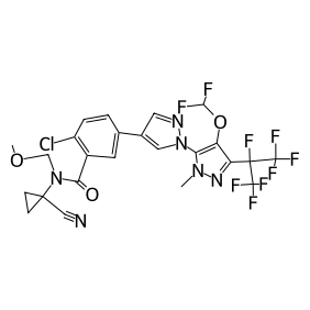 COCN(C(=O)c1cc(-c2cnn(-c3c(OC(F)F)c(C(F)(C(F)(F)F)C(F)(F)F)nn3C)c2)ccc1Cl)C1(C#N)CC1